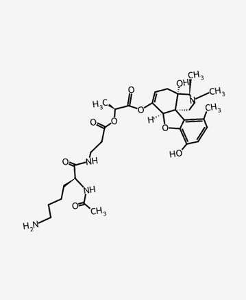 CC(=O)N[C@@H](CCCCN)C(=O)NCCC(=O)O[C@@H](C)C(=O)OC1=CC[C@@]2(O)[C@@H](C)N(C)CC[C@@]23c2c(C)ccc(O)c2O[C@@H]13